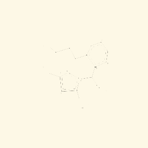 CCCCc1cc[c]cc1C(N)n1nc(C)cc1C